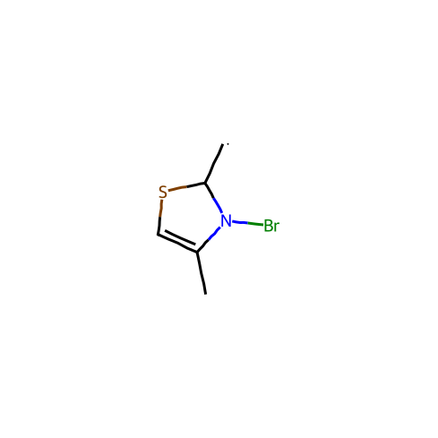 [CH2]C1SC=C(C)N1Br